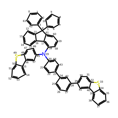 c1ccc(C2(c3ccccc3)c3ccccc3-c3c(N(c4ccc(-c5cccc(-c6ccc7sc8ccccc8c7c6)c5)cc4)c4ccc5sc6ccccc6c5c4)cccc32)cc1